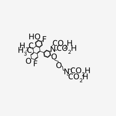 CC1(C)C2=CC(=O)C(F)=CC2=C(c2ccc(OCCOCCN(CC(=O)O)CC(=O)O)c(N(CC(=O)O)CC(=O)O)c2)c2cc(F)c(O)cc21